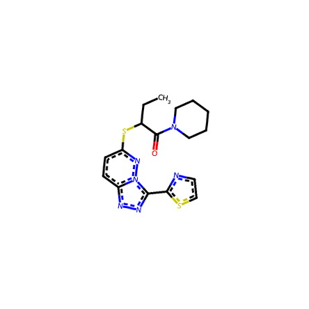 CCC(Sc1ccc2nnc(-c3nccs3)n2n1)C(=O)N1CCCCC1